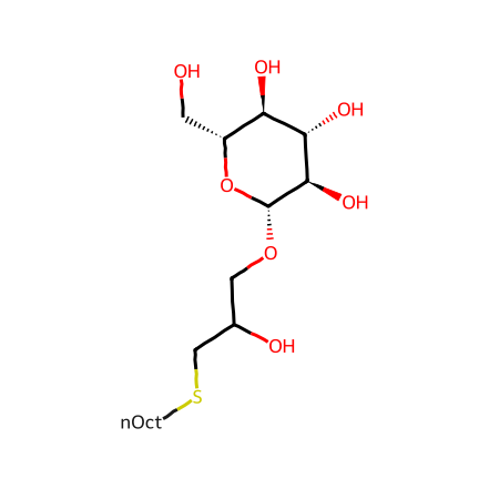 CCCCCCCCSCC(O)CO[C@@H]1O[C@H](CO)[C@@H](O)[C@H](O)[C@H]1O